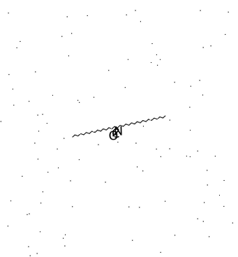 CCCCCCCCCCCCCCCCCC(CCCCCCCCCCCCCCCC)N=C=O